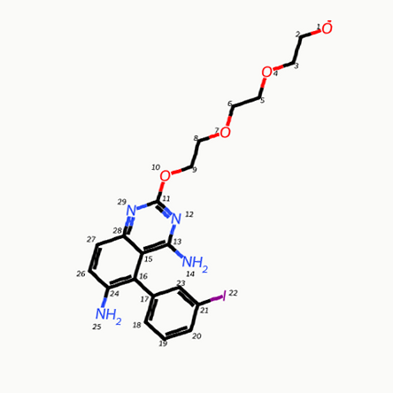 CCOCCOCCOCCOc1nc(N)c2c(-c3cccc(I)c3)c(N)ccc2n1